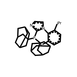 CC(C)c1cccc(C(C)C)c1-n1ccnc1P(C12CC3CC(CC(C3)C1)C2)C12CC3CC(CC(C3)C1)C2